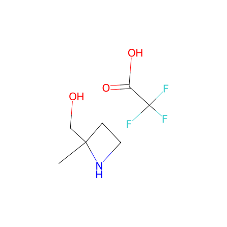 CC1(CO)CCN1.O=C(O)C(F)(F)F